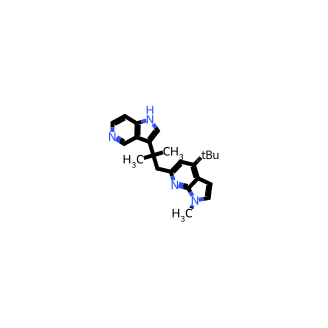 Cn1ccc2c(C(C)(C)C)cc(CC(C)(C)c3c[nH]c4ccncc34)nc21